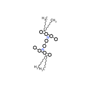 CCCCCCCCC1(CCCCCCCC)c2ccccc2-c2cc3c(cc21)c1ccc(-c2ccccc2)cc1n3-c1ccc(-c2ccc(-n3c4cc(-c5ccccc5)ccc4c4cc5c(cc43)-c3ccccc3C5(CCCCCCCC)CCCCCCCC)cc2)cc1